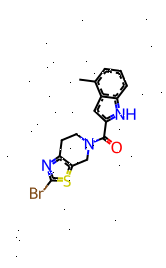 Cc1cccc2[nH]c(C(=O)N3CCc4nc(Br)sc4C3)cc12